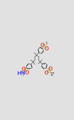 CCS(=O)(=O)c1ccc(C(C)(CCC(C)(C)c2ccc(S(=O)(=O)NC)cc2)CCC(C)(C)c2ccc(S(=O)(=O)C3CC3)cc2)cc1